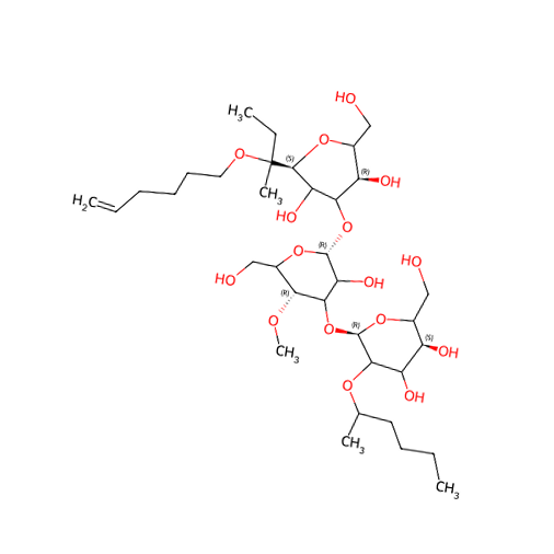 C=CCCCCOC(C)(CC)[C@H]1OC(CO)[C@@H](O)C(O[C@H]2OC(CO)[C@@H](OC)C(O[C@H]3OC(CO)[C@@H](O)C(O)C3OC(C)CCCC)C2O)C1O